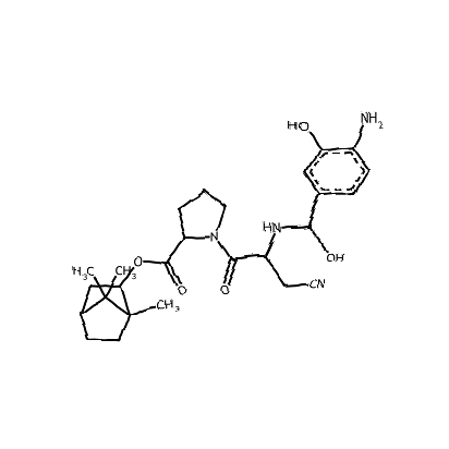 CC1(C)C2CCC1(C)C(OC(=O)C1CCCN1C(=O)C(CC#N)NC(O)c1ccc(N)c(O)c1)C2